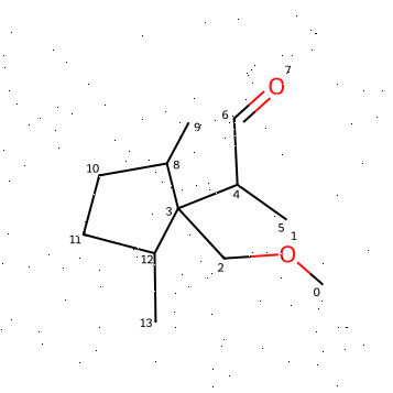 COCC1(C(C)C=O)C(C)CCC1C